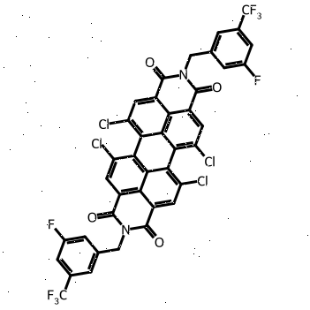 O=C1c2cc(Cl)c3c4c(Cl)cc5c6c(cc(Cl)c(c7c(Cl)cc(c2c37)C(=O)N1Cc1cc(F)cc(C(F)(F)F)c1)c64)C(=O)N(Cc1cc(F)cc(C(F)(F)F)c1)C5=O